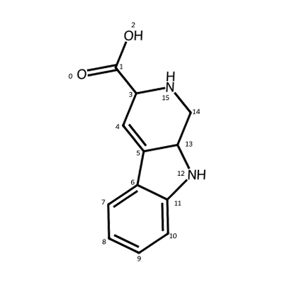 O=C(O)C1C=C2c3ccccc3NC2CN1